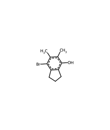 Cc1c(C)c(Br)c2c(c1O)CCC2